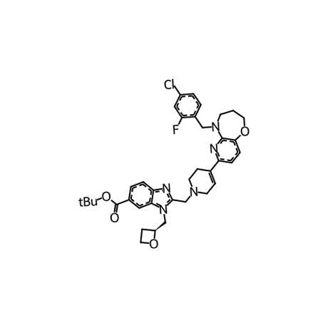 CC(C)(C)OC(=O)c1ccc2nc(CN3CC=C(c4ccc5c(n4)N(Cc4ccc(Cl)cc4F)CCCO5)CC3)n(C[C@@H]3CCO3)c2c1